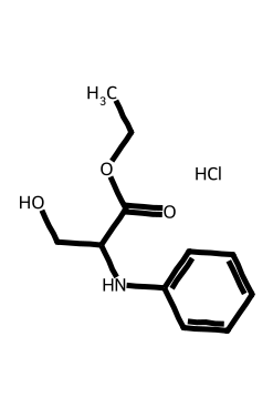 CCOC(=O)C(CO)Nc1ccccc1.Cl